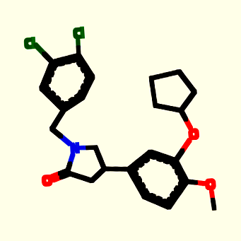 COc1ccc(C2CC(=O)N(Cc3ccc(Cl)c(Cl)c3)C2)cc1OC1CCCC1